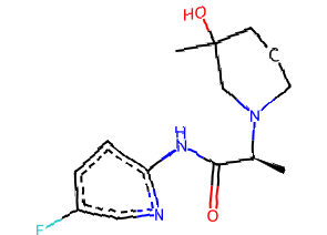 C[C@@H](C(=O)Nc1ccc(F)cn1)N1CCCC(C)(O)C1